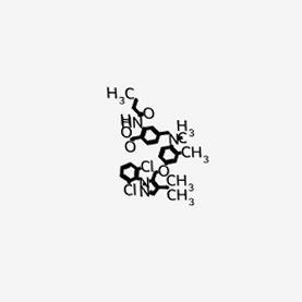 CCCC(=O)Nc1cc(CN(C)c2ccc(OCc3c(C(C)C)cnn3-c3c(Cl)cccc3Cl)cc2C)ccc1C(=O)O